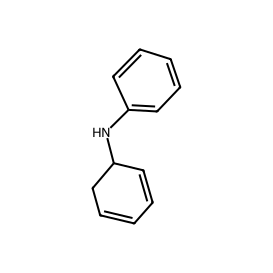 C1=CCC(Nc2ccccc2)C=C1